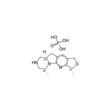 C[C@@H]1CNC[C@H]2Cc3cc4c(nc3N21)[C@@H](C)OC4.O=P(O)(O)O